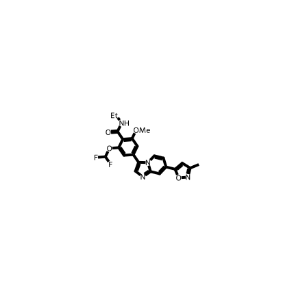 CCNC(=O)c1c(OC)cc(-c2cnc3cc(-c4cc(C)no4)ccn23)cc1OC(F)F